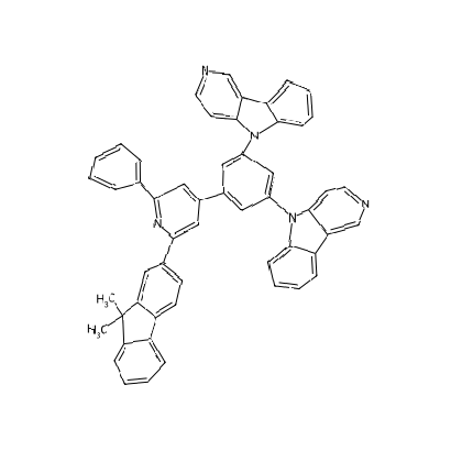 CC1(C)c2ccccc2-c2ccc(-c3cc(-c4cc(-n5c6ccccc6c6cnccc65)cc(-n5c6ccccc6c6cnccc65)c4)cc(-c4ccccc4)n3)cc21